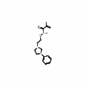 C=C(C)C(=O)NNCCN1CCN(c2ccccc2)C1